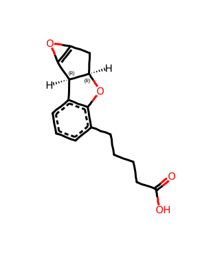 O=C(O)CCCCc1cccc2c1O[C@@H]1CC3=C(O3)[C@H]21